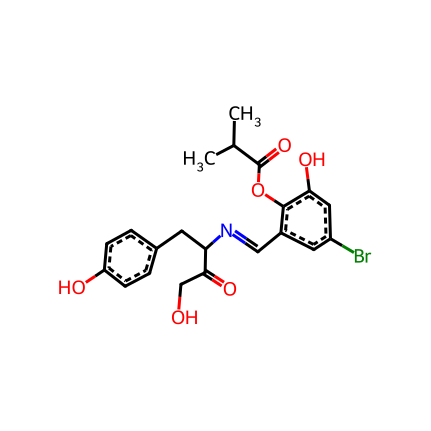 CC(C)C(=O)Oc1c(O)cc(Br)cc1C=NC(Cc1ccc(O)cc1)C(=O)CO